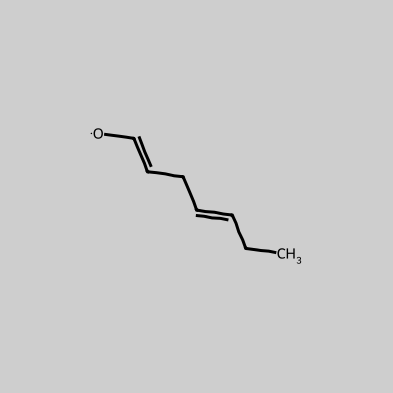 CCC=CCC=C[O]